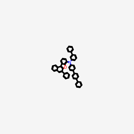 c1ccc(-c2ccc(-c3ccc(N(c4cccc(-c5ccccc5)c4)c4cccc5c4oc4c(-c6ccccc6)cc6ccccc6c45)cc3)cc2)cc1